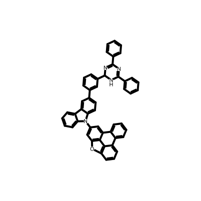 c1ccc(C2=NC(c3cccc(-c4ccc5c(c4)c4ccccc4n5-c4cc5oc6cccc7c8ccccc8c(c4)c5c67)c3)NC(c3ccccc3)=N2)cc1